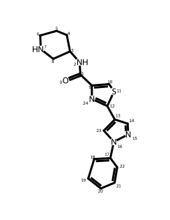 O=C(NC1CCCNC1)c1csc(-c2cnn(-c3ccccc3)c2)n1